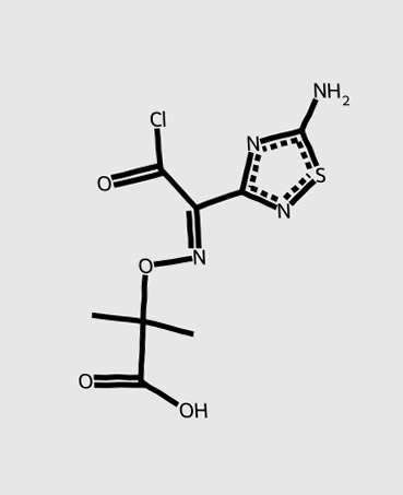 CC(C)(ON=C(C(=O)Cl)c1nsc(N)n1)C(=O)O